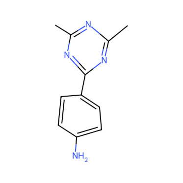 Cc1nc(C)nc(-c2ccc(N)cc2)n1